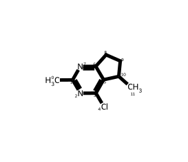 Cc1nc(Cl)c2c(n1)CCC2C